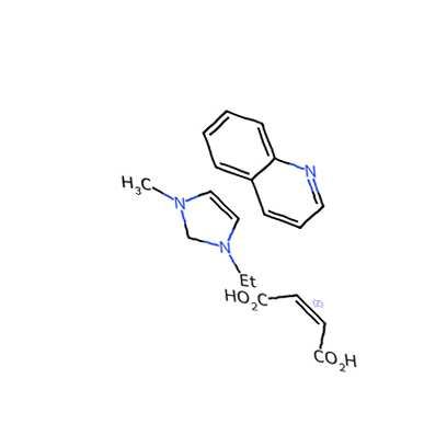 CCN1C=CN(C)C1.O=C(O)/C=C\C(=O)O.c1ccc2ncccc2c1